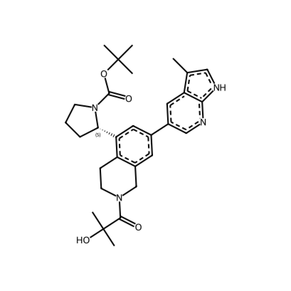 Cc1c[nH]c2ncc(-c3cc4c(c([C@@H]5CCCN5C(=O)OC(C)(C)C)c3)CCN(C(=O)C(C)(C)O)C4)cc12